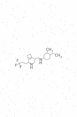 CCC1CCC(NCC2CNC(CCC(F)(F)F)C3=C2CC3)CC1C